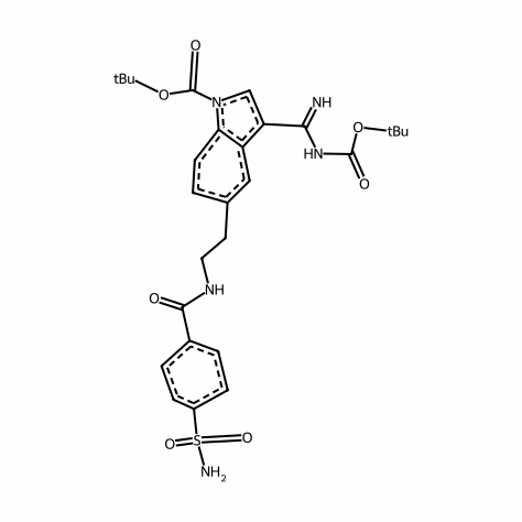 CC(C)(C)OC(=O)NC(=N)c1cn(C(=O)OC(C)(C)C)c2ccc(CCNC(=O)c3ccc(S(N)(=O)=O)cc3)cc12